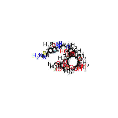 CC[C@H]1OC(=O)[C@H](C)[C@@H](O[C@H]2C[C@@](C)(OC)[C@@H](O)[C@H](C)O2)[C@H](C)[C@@H](O[C@@H]2O[C@H](C)C[C@H](N(C)CCc3cn([C@H](CF)[C@H](OC)c4ccc(-c5cnc(N)s5)cc4)nn3)[C@H]2O)[C@](C)(OC)C[C@@H](C)C(=O)[C@H](C)[C@@H](O)[C@]1(C)O